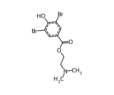 CN(C)CCOC(=O)c1cc(Br)c(O)c(Br)c1